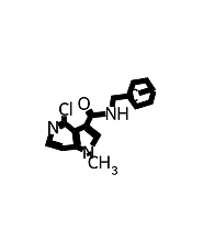 Cn1cc(C(=O)NCC23CCC(CC2)CC3)c2c(Cl)nccc21